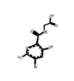 Cc1nc(C(=O)NCC(=O)O)c(O)cc1Br